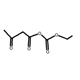 CCOC(=O)OC(=O)CC(C)=O